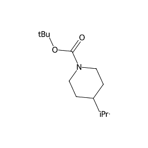 C[C](C)C1CCN(C(=O)OC(C)(C)C)CC1